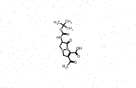 CC(=O)C1=C(C(=O)O)N2C(=O)C(NC(=O)OC(C)(C)C)CN2C1